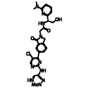 CN/N=C(\C=N)Nc1ncc(Cl)c(-c2ccc3c(c2)C(=O)N(CC(=O)N[C@H](CO)c2cccc(N(C)C)n2)C3)n1